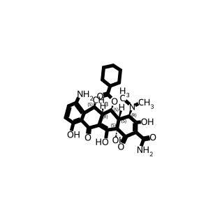 C[C@@H]1c2c(N)ccc(O)c2C(=O)C2=C(O)[C@]3(O)C(=O)C(C(N)=O)=C(O)[C@H](N(C)C)[C@H]3[C@@H](OC(=O)C3CCCCC3)[C@@H]21